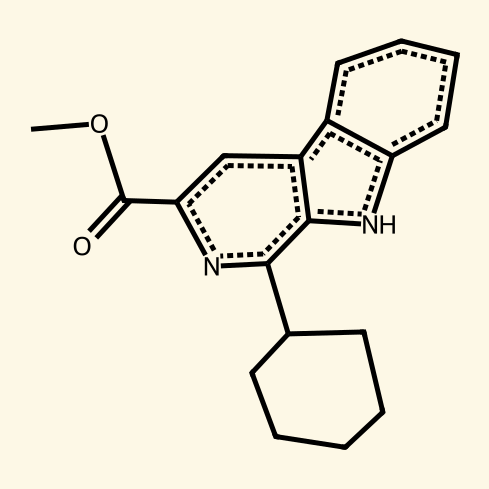 COC(=O)c1cc2c([nH]c3ccccc32)c(C2CCCCC2)n1